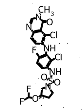 Cn1cnc2ccc(Nc3c(F)ccc(NS(=O)(=O)N4CC[C@@H](OC(F)F)C4)c3Cl)c(Cl)c2c1=O